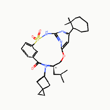 CC(C)C[C@@H]1COc2cc(C3CCCCC3(C)C)nc(n2)NS(=O)(=O)c2cccc(c2)C(=O)N1C1CC2(CC2)C1